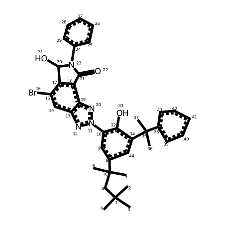 CC(C)(C)CC(C)(C)c1cc(-n2nc3cc(Br)c4c(c3n2)C(=O)N(c2ccccc2)C4O)c(O)c(C(C)(C)c2ccccc2)c1